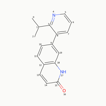 CC(C)c1ncccc1-c1ccc2ccc(=O)[nH]c2c1